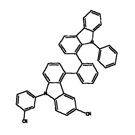 N#Cc1cccc(-n2c3ccc(C#N)cc3c3c(-c4ccccc4-c4cccc5c6ccccc6n(-c6ccccc6)c45)cccc32)c1